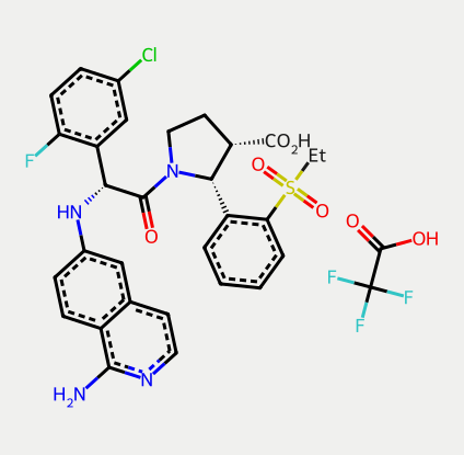 CCS(=O)(=O)c1ccccc1[C@H]1[C@@H](C(=O)O)CCN1C(=O)[C@H](Nc1ccc2c(N)nccc2c1)c1cc(Cl)ccc1F.O=C(O)C(F)(F)F